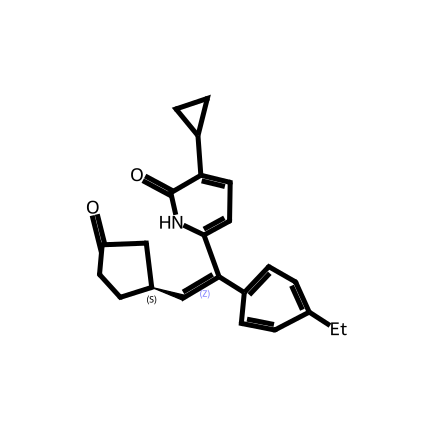 CCc1ccc(/C(=C/[C@H]2CCC(=O)C2)c2ccc(C3CC3)c(=O)[nH]2)cc1